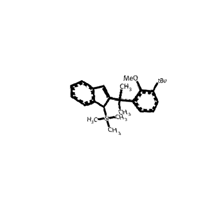 COc1c(C(C)(C)C)cccc1C(C)(C)C1=Cc2ccccc2C1[Si](C)(C)C